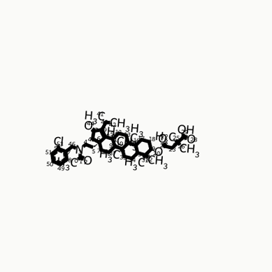 CC(=O)N(CC[C@@]12CC[C@]3(C)[C@H](CCC4[C@@]5(C)CC[C@H](OC(=O)CC(C)(C)C(=O)O)C(C)(C)C5CC[C@]43C)C1=C(C(C)C)C(=O)C2)Cc1ccccc1Cl